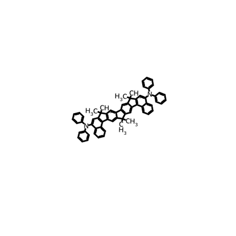 CC1(C)c2cc3c(cc2-c2cc4c(cc21)-c1c(cc(N(c2ccccc2)c2ccccc2)c2ccccc12)C4(C)C)C(C)(C)c1cc(N(c2ccccc2)c2ccccc2)c2ccccc2c1-3